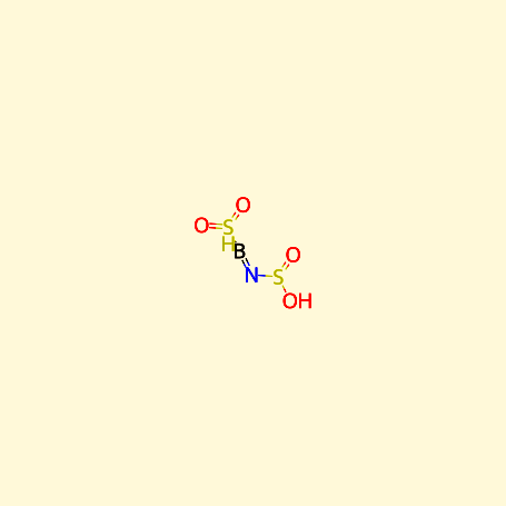 O=S(O)/N=B/[SH](=O)=O